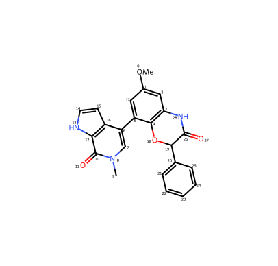 COc1cc2c(c(-c3cn(C)c(=O)c4[nH]ccc34)c1)OC(c1ccccc1)C(=O)N2